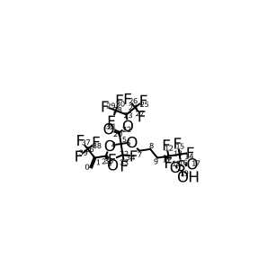 C=C(C(=O)OC(OCCCC(F)(F)C(F)(F)S(=O)(=O)O)(C(=O)OC(C(F)(F)F)C(F)(F)F)C(F)(F)F)C(F)(F)F